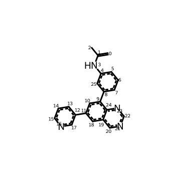 C=C(C)Nc1cccc(-c2cc(-c3cccnc3)cc3cncnc23)c1